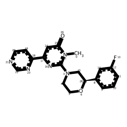 Cn1c(N2CCO[C@H](c3cccc(F)c3)C2)nc(-c2ccncn2)cc1=O